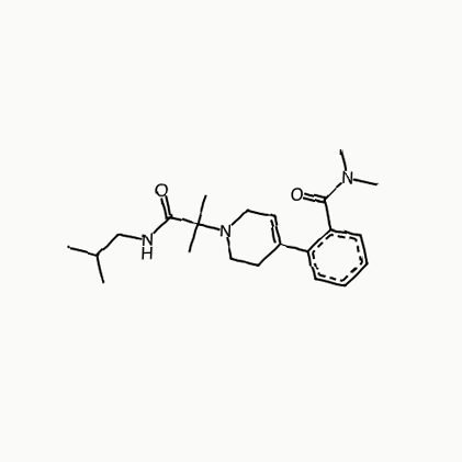 CC(C)CNC(=O)C(C)(C)N1CC=C(c2ccccc2C(=O)N(C)C)CC1